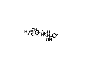 C[Si](C)(C)c1ccc(-c2noc(C(CO)NC(=O)c3ccc(F)cc3)n2)cc1